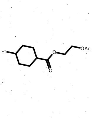 CCC1CCC(C(=O)OCCOC(C)=O)CC1